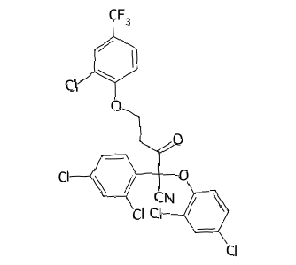 N#CC(Oc1ccc(Cl)cc1Cl)(C(=O)CCOc1ccc(C(F)(F)F)cc1Cl)c1ccc(Cl)cc1Cl